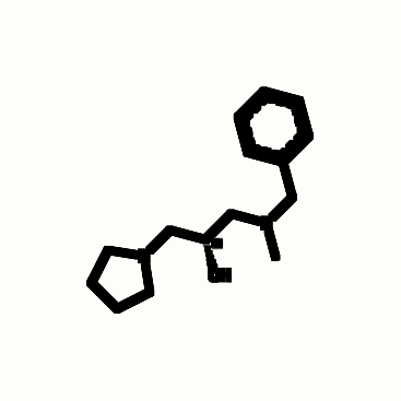 CN(Cc1ccccc1)C[C@H](O)CN1CCCC1